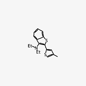 CCN(CC)c1c(-c2cc(C)cs2)sc2ccccc12